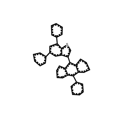 c1ccc(-c2cc(-c3ccccc3)c3scc(-c4c5ccccc5c(-c5ccccc5)c5ccccc45)c3c2)cc1